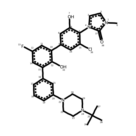 Cn1ccn(-c2c(O)cc(-c3cc(F)cc(-c4cccc(N5CCN(C(C)(C)C)CC5)c4)c3O)cc2Cl)c1=O